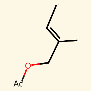 [CH2]C=C(C)COC(C)=O